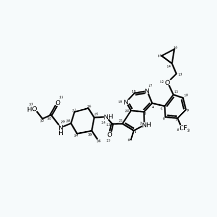 Cc1[nH]c2c(-c3cc(C(F)(F)F)ccc3OCC3CC3)ncnc2c1C(=O)NC1CCC(NC(=O)CO)CC1C